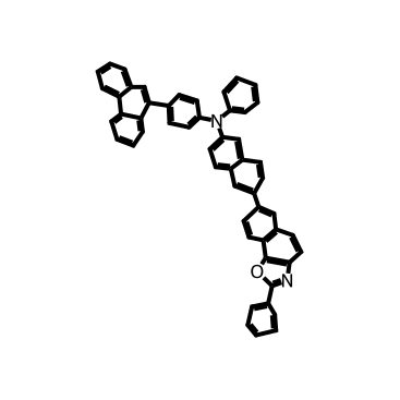 c1ccc(-c2nc3ccc4cc(-c5ccc6cc(N(c7ccccc7)c7ccc(-c8cc9ccccc9c9ccccc89)cc7)ccc6c5)ccc4c3o2)cc1